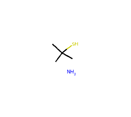 CC(C)(C)S.N